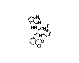 C[C@H](Nc1ncnn2ccnc12)c1cc2cccc(Cl)c2c(=O)n1-c1cccc(F)c1